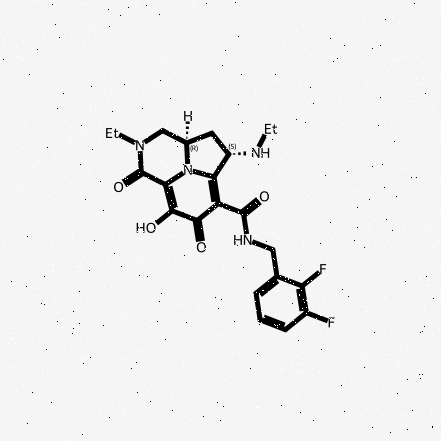 CCN[C@H]1C[C@@H]2CN(CC)C(=O)c3c(O)c(=O)c(C(=O)NCc4cccc(F)c4F)c1n32